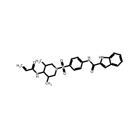 C=CC(=O)NC1C(C)CN(S(=O)(=O)c2ccc(NC(=O)c3cc4ccccc4[nH]3)cc2)CC1C